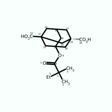 CCC(C)(C)C(=O)OC12CC3CC(C(=O)O)(C1)C[C@@](C(=O)O)(C3)C2